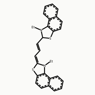 CCN1C(=CC=CC2Sc3ccc4ccccc4c3N2CC)Sc2ccc3ccccc3c21